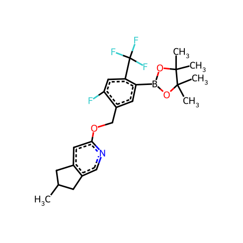 CC1Cc2cnc(OCc3cc(B4OC(C)(C)C(C)(C)O4)c(C(F)(F)F)cc3F)cc2C1